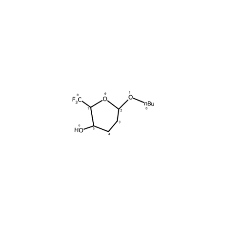 CCCCOC1CCC(O)C(C(F)(F)F)O1